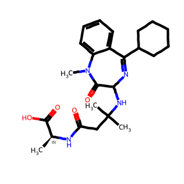 C[C@H](NC(=O)CC(C)(C)NC1N=C(C2CCCCC2)c2ccccc2N(C)C1=O)C(=O)O